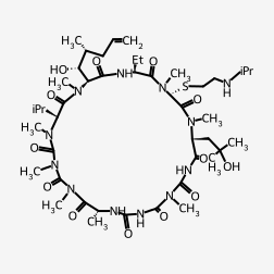 C=CC[C@@H](C)[C@@H](O)[C@H]1C(=O)N[C@@H](CC)C(=O)N(C)[C@H](SCCNC(C)C)C(=O)N(C)[C@@H](CC(C)(C)O)C(=O)NC(=O)N(C)C(=O)NC(=O)N[C@H](C)C(=O)N(C)C(=O)N(C)C(=O)N(C)[C@@H](C(C)C)C(=O)N1C